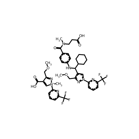 COCC1=N[N+](C)(c2cccc(C(F)(F)F)n2)C=C1C(=O)O.COCc1nn(-c2cccc(C(F)(F)F)n2)cc1C(Nc1ccc(C(=O)N(C)CCC(=O)O)cc1)C1CCCCC1